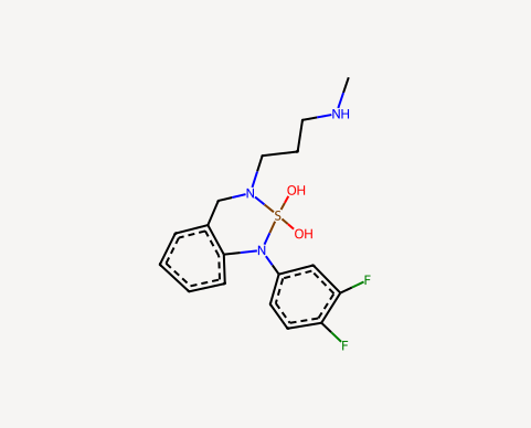 CNCCCN1Cc2ccccc2N(c2ccc(F)c(F)c2)S1(O)O